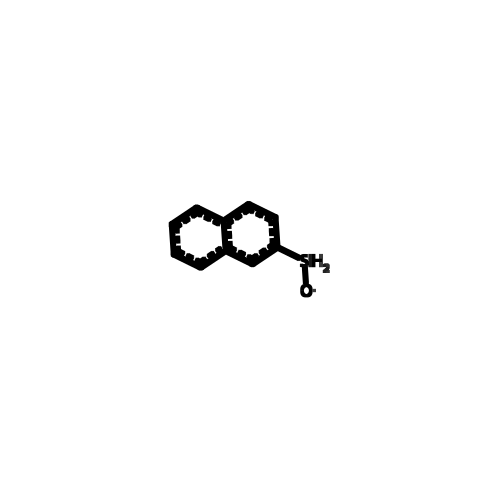 [O][SiH2]c1ccc2ccccc2c1